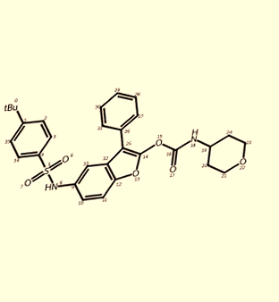 CC(C)(C)c1ccc(S(=O)(=O)Nc2ccc3oc(OC(=O)NC4CCOCC4)c(-c4ccccc4)c3c2)cc1